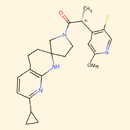 COc1cc([C@@H](C)C(=O)N2CCC3(CCc4ccc(C5CC5)nc4N3)C2)c(F)cn1